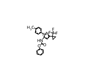 Cc1ccc(-n2nc(C3(C(F)(F)F)CC3)cc2NC(=O)Oc2ccccc2)cc1